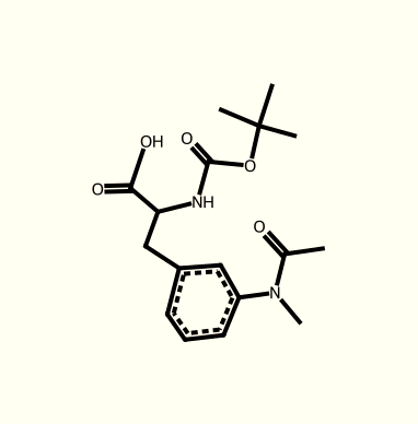 CC(=O)N(C)c1cccc(CC(NC(=O)OC(C)(C)C)C(=O)O)c1